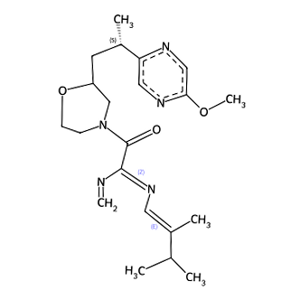 C=N/C(=N\C=C(/C)C(C)C)C(=O)N1CCOC(C[C@H](C)c2cnc(OC)cn2)C1